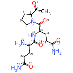 CC(=O)C1CCCN1C(=O)C(CCC(N)=O)NC(=O)C(N)CCC(N)=O